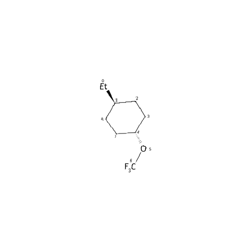 CC[C@H]1CC[C@H](OC(F)(F)F)CC1